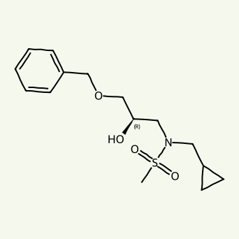 CS(=O)(=O)N(CC1CC1)C[C@@H](O)COCc1ccccc1